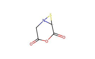 O=C1CN2S[C]2C(=O)O1